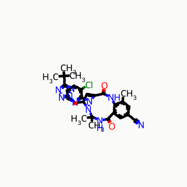 Cc1cc(C#N)cc2c1NC(=O)C1=CC(Cn3nnc(C(C)(C)C)n3)N(N1c1ncccc1Cl)C(C)(C)NC2=O